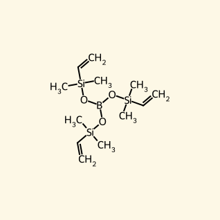 C=C[Si](C)(C)OB(O[Si](C)(C)C=C)O[Si](C)(C)C=C